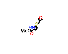 COC(=O)c1ccc(SCC2COC2)[nH]1